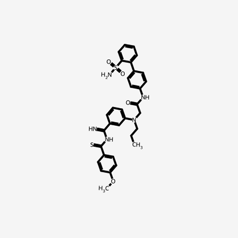 CCCN(CC(=O)Nc1ccc(-c2ccccc2S(N)(=O)=O)cc1)c1cccc(C(=N)NC(=S)c2ccc(OC)cc2)c1